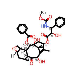 CC(=O)O[C@@]12CO[C@@H]1CC1C[C@@]13C(=O)[C@H](O)C1=C(C)[C@@H](OC(=O)[C@H](O)[C@@H](NC(=O)OC(C)(C)C)c4ccccc4)C[C@@](O)([C@@H](OC(=O)c4ccccc4)[C@H]23)C1(C)C